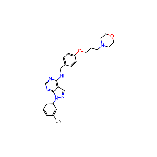 N#Cc1cccc(-n2ncc3c(NCc4ccc(OCCCN5CCOCC5)cc4)ncnc32)c1